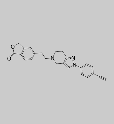 C#Cc1ccc(-n2cc3c(n2)CCN(CCc2ccc4c(c2)COC4=O)C3)cc1